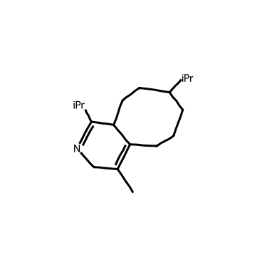 CC1=C2CCCC(C(C)C)CCC2C(C(C)C)=NC1